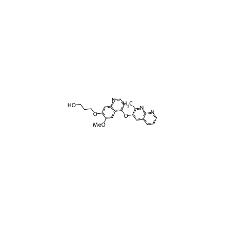 COc1cc2c(Oc3cc4cccnc4nc3C)ccnc2cc1OCCCO